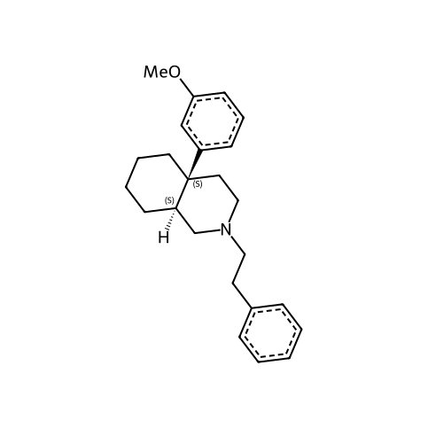 COc1cccc([C@]23CCCC[C@@H]2CN(CCc2ccccc2)CC3)c1